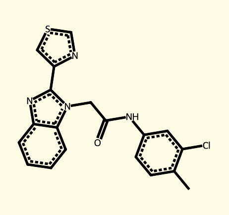 Cc1ccc(NC(=O)Cn2c(-c3cscn3)nc3ccccc32)cc1Cl